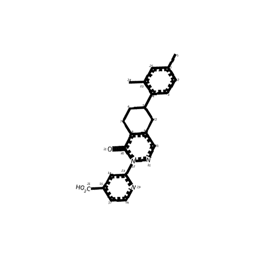 Cc1ccc(C2CCc3c(cnn(-c4cc(C(=O)O)ccn4)c3=O)C2)c(C)c1